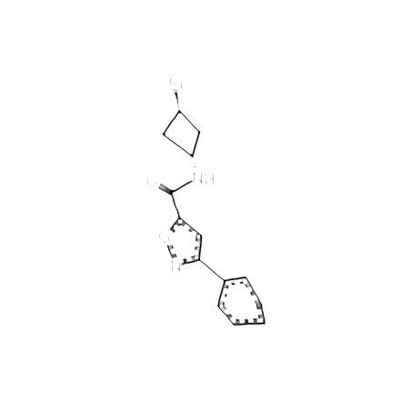 CC[C@H]1C[C@H](NC(=O)c2cc(-c3ccccc3)no2)C1